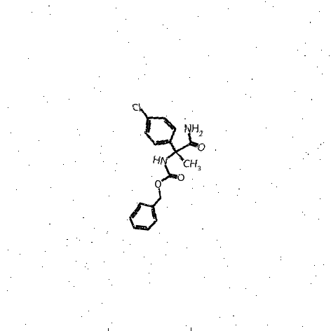 C[C@](NC(=O)OCc1ccccc1)(C(N)=O)c1ccc(Cl)cc1